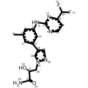 Cc1cc(Nc2nccc(C(F)F)n2)cc(-c2cnn(C[C@H](O)C(N)=O)c2)c1